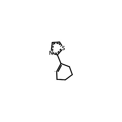 [C]1=C(c2nccs2)CCCC1